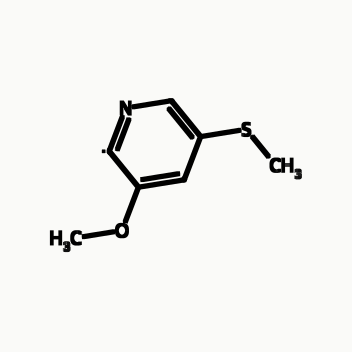 COc1[c]ncc(SC)c1